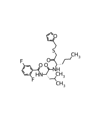 CCCC[C@H](NC(=O)[C@H](CC(C)C)NC(=O)c1cc(F)ccc1F)C(=O)CSCc1ccco1